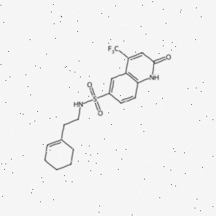 O=c1cc(C(F)(F)F)c2cc(S(=O)(=O)NCCC3=CCCCC3)ccc2[nH]1